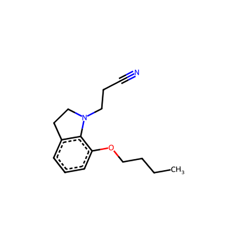 CCCCOc1cccc2c1N(CCC#N)CC2